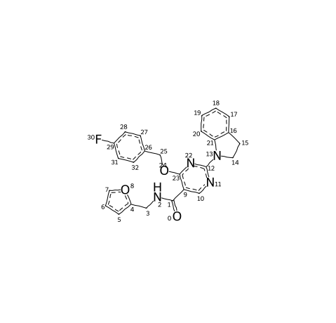 O=C(NCc1ccco1)c1cnc(N2CCc3ccccc32)nc1OCc1ccc(F)cc1